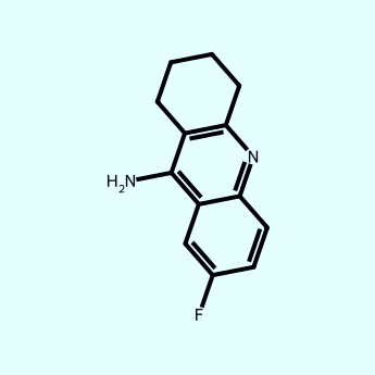 Nc1c2c(nc3ccc(F)cc13)CCCC2